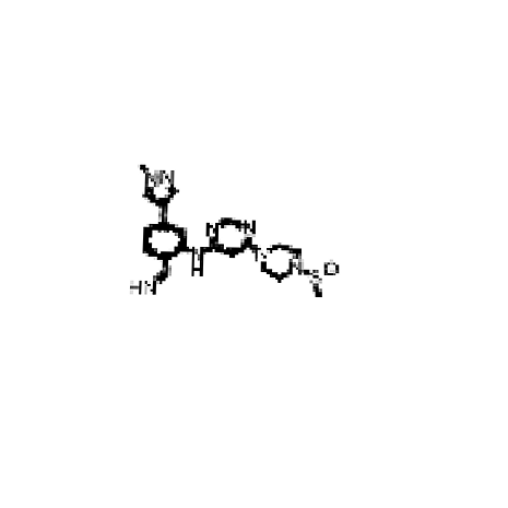 Cn1cc(-c2ccc(C=N)c(Nc3cc(N4CCN([S+](C)[O-])CC4)ncn3)c2)cn1